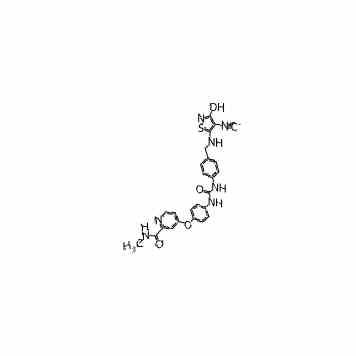 [C-]#[N+]c1c(O)nsc1NCc1ccc(NC(=O)Nc2ccc(Oc3ccnc(C(=O)NC)c3)cc2)cc1